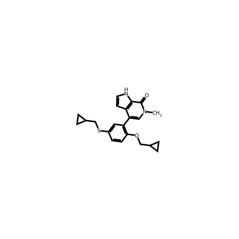 Cn1cc(-c2cc(SCC3CC3)ccc2OCC2CC2)c2cc[nH]c2c1=O